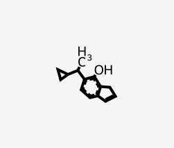 CC(c1ccc2c(c1O)CC=C2)C1CC1